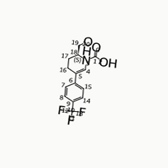 O=C(O)N1C=C(c2ccc(C(F)(F)F)cc2)CC[C@H]1CO